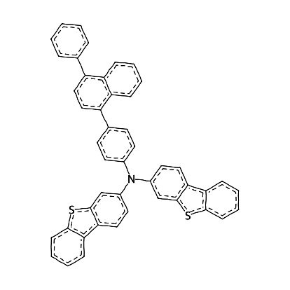 c1ccc(-c2ccc(-c3ccc(N(c4ccc5c(c4)sc4ccccc45)c4ccc5c(c4)sc4ccccc45)cc3)c3ccccc23)cc1